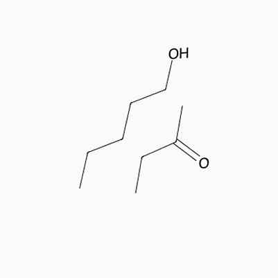 CCC(C)=O.CCCCCO